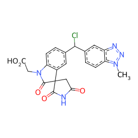 Cn1nnc2cc(C(Cl)c3ccc4c(c3)C3(CC(=O)NC3=O)C(=O)N4CC(=O)O)ccc21